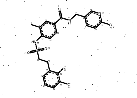 Cc1cc(C(=O)NCc2ccc(C(F)(F)F)nc2)ccc1NS(=O)(=O)CCc1cccc(Cl)c1Cl